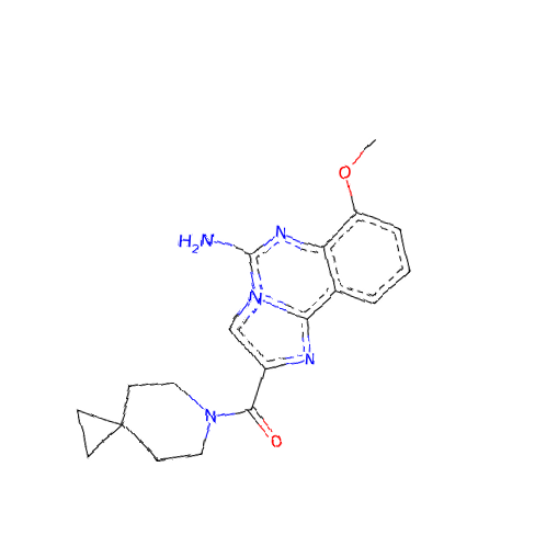 COc1cccc2c1nc(N)n1cc(C(=O)N3CCC4(CC3)CC4)nc21